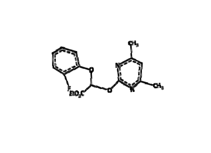 CCOC(=O)C(Oc1nc(C)cc(C)n1)Oc1ccccc1F